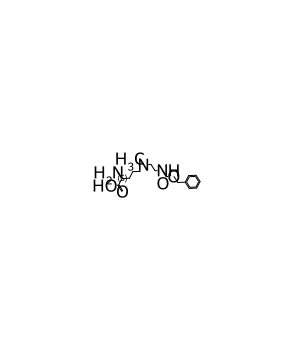 CN(CCC[C@H](N)C(=O)O)CCNC(=O)OCc1ccccc1